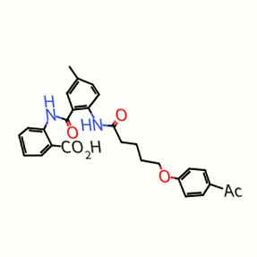 CC(=O)c1ccc(OCCCCC(=O)Nc2ccc(C)cc2C(=O)Nc2ccccc2C(=O)O)cc1